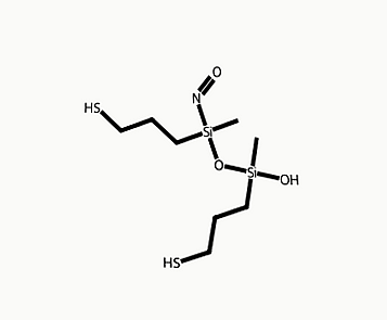 C[Si](O)(CCCS)O[Si](C)(CCCS)N=O